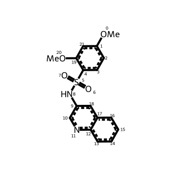 COc1ccc(S(=O)(=O)Nc2cnc3ccccc3c2)c(OC)c1